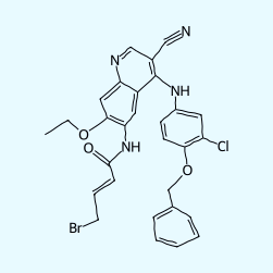 CCOc1cc2ncc(C#N)c(Nc3ccc(OCc4ccccc4)c(Cl)c3)c2cc1NC(=O)C=CCBr